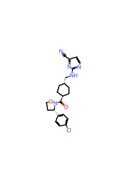 N#Cc1ccnc(NC[C@H]2CC[C@H](C(=O)N3OCC[C@H]3c3ccc(Cl)cc3)CC2)n1